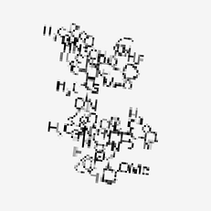 COc1ccccc1[C@H](Cn1c(=O)n(C(C)(C)C(=O)NS(=O)(=O)C2(C)CC2c2cnc(-c3sc4c(c3C)c(=O)n(C(C)(C)C(=O)NS(=O)(=O)C3(C)CC3)c(=O)n4C[C@H](O[C@@H]3CC4CC[C@@H](C3)O4)c3cc(F)ccc3OC)o2)c(=O)c2c(C)c(-c3ncco3)sc21)O[C@@H]1C[C@H]2CC[C@@H](C1)O2